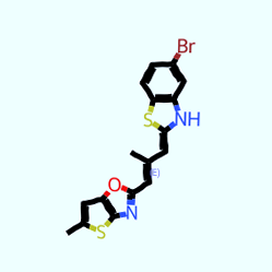 C/C(C=C1Nc2cc(Br)ccc2S1)=C\c1nc2sc(C)cc2o1